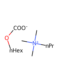 CCCCCCOC(=O)[O-].CCC[N+](C)(C)C